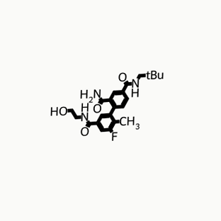 Cc1c(F)cc(C(=O)NCCO)cc1-c1ccc(C(=O)NCC(C)(C)C)cc1C(N)=O